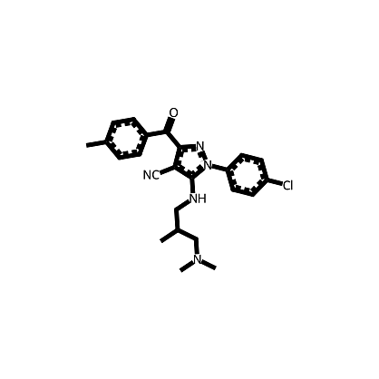 Cc1ccc(C(=O)c2nn(-c3ccc(Cl)cc3)c(NCC(C)CN(C)C)c2C#N)cc1